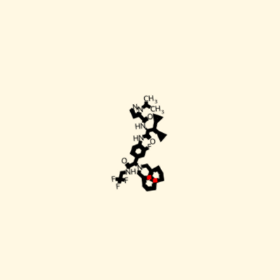 CC(C)n1nccc1C(=O)N[C@H](C(=O)Nc1ccc(C(C(=O)NCC(F)(F)F)N(Cc2ccccc2)Cc2ccccc2)cc1F)C(=C1CC1)C1CC1